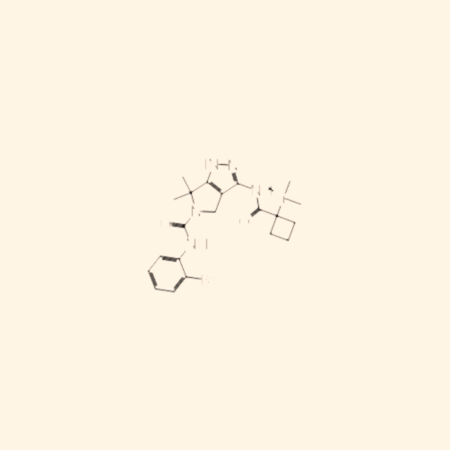 CC1(C)c2[nH]nc(NC(=O)C3([Si](C)(C)C)CCC3)c2CN1C(=O)Nc1ccccc1Br